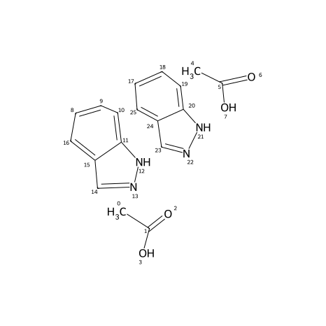 CC(=O)O.CC(=O)O.c1ccc2[nH]ncc2c1.c1ccc2[nH]ncc2c1